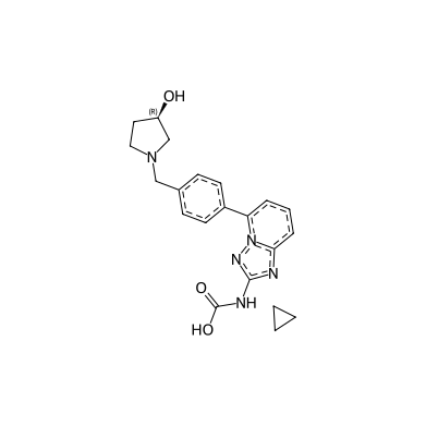 C1CC1.O=C(O)Nc1nc2cccc(-c3ccc(CN4CC[C@@H](O)C4)cc3)n2n1